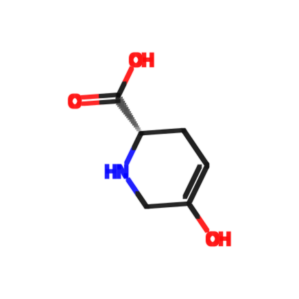 O=C(O)[C@@H]1CC=C(O)CN1